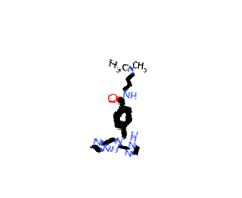 CN(C)CCCCNC(=O)c1ccc(CN(CC2=NCCN2)Cc2ncc[nH]2)cc1